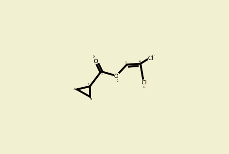 O=C(OC=C(Cl)Cl)C1CC1